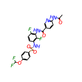 CC(=O)Nc1ccc(C(=O)Nc2c(F)ccc(NS(=O)(=O)c3ccc(OC(F)F)cc3)c2F)cn1